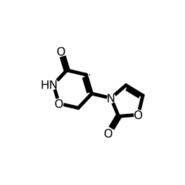 O=C1[C]=C(n2ccoc2=O)CON1